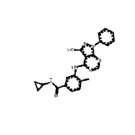 Cc1ccc(C(=O)NC2CC2)cc1Nc1ncnc2c1c(O)nn2-c1ccccc1